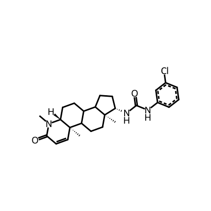 CN1C(=O)C=C[C@]2(C)C3CC[C@@]4(C)C(CC[C@@H]4NC(=O)Nc4cccc(Cl)c4)C3CC[C@@H]12